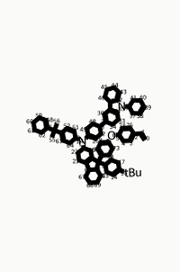 C=CC1=CCC(OC2=CC=C(C3(C4CC=C(C(C)(C)C)CC4)C4=C(CCC(N(C5=CCC(C6=CC7=C(CC6)N(C6CC=CCC6)C6=CCCCC67)CC5)C5C=CC(C(C)(C)C6=CCCCC6)=CC5)C4)C4CCCCC43)CC2)C=C1